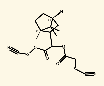 CC1(C)[C@@H]2CC[C@]1(C)C(C(OC(=O)CSC#N)C(=O)OSC#N)C2